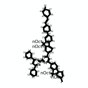 CCCCCCCCC1(CCCCCCCC)c2cc(C)ccc2-c2ccc(-c3cc(-c4ccc5c(c4)C(CCCCCCCC)(CCCCCCCC)c4cc(-c6ccc(/C=C/c7ccc(C)cc7)cc6)ccc4-5)nc(-c4nc(-c5ccccc5)cc(-c5ccccc5)n4)n3)cc21